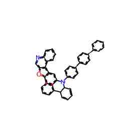 C1=CC(c2ccccc2)C(N(c2ccc(-c3ccc(-c4ccccc4)cc3)cc2)c2ccc3oc4cnc5ccccc5c4c3c2)C=C1